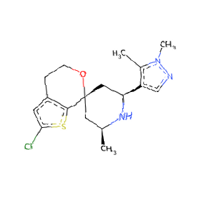 Cc1c([C@@H]2C[C@]3(C[C@H](C)N2)OCCc2cc(Cl)sc23)cnn1C